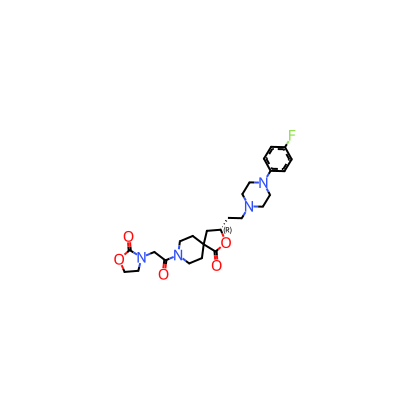 O=C(CN1CCOC1=O)N1CCC2(CC1)C[C@H](CCN1CCN(c3ccc(F)cc3)CC1)OC2=O